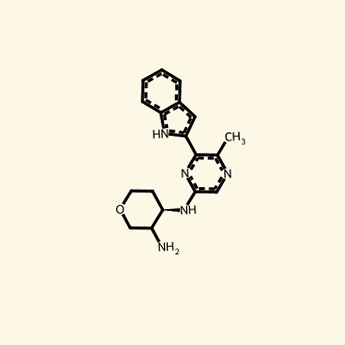 Cc1ncc(N[C@@H]2CCOCC2N)nc1-c1cc2ccccc2[nH]1